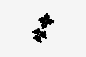 Cc1cc(C)cc([NH+](c2cc(C)cc(C)c2)c2cc(C)cc(C)c2)c1.Cc1ccc([B-](c2ccc(C)cc2)(c2ccc(C)cc2)c2ccc(C)cc2)cc1